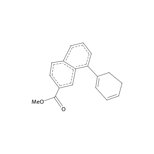 COC(=O)c1ccc2cccc(C3=CC=CCC3)c2c1